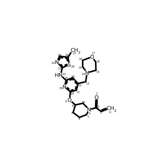 C=CC(=O)N1CCCC(Oc2cc(CN3CCOCC3)cc(Nc3ncc(C)s3)n2)C1